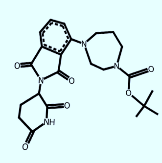 CC(C)(C)OC(=O)N1CCCN(c2cccc3c2C(=O)N(C2CCC(=O)NC2=O)C3=O)CC1